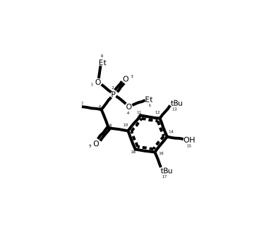 CCOP(=O)(OCC)C(C)C(=O)c1cc(C(C)(C)C)c(O)c(C(C)(C)C)c1